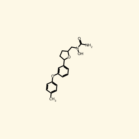 Cc1ccc(Oc2cccc(C3CCC(CN(O)C(N)=O)O3)c2)cc1